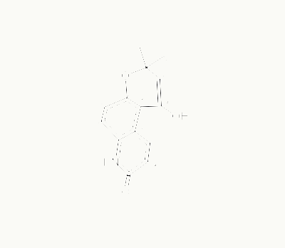 CC1(C)C=C(O)c2c(ccc3[nH]c(=O)ccc23)O1